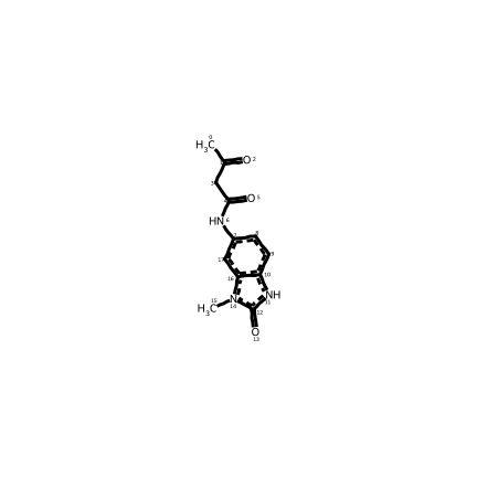 CC(=O)CC(=O)Nc1ccc2[nH]c(=O)n(C)c2c1